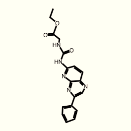 CCOC(=O)CNC(=O)Nc1ccc2ncc(-c3ccccc3)nc2n1